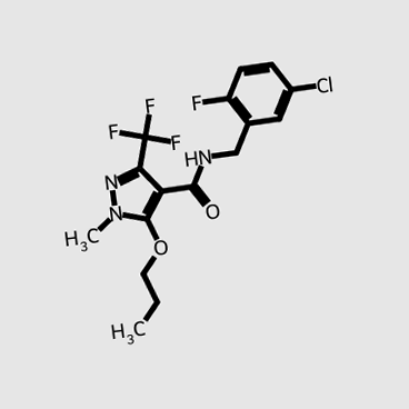 CCCOc1c(C(=O)NCc2cc(Cl)ccc2F)c(C(F)(F)F)nn1C